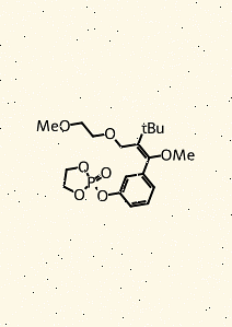 COCCOCC(=C(OC)c1cccc(OP2(=O)OCCO2)c1)C(C)(C)C